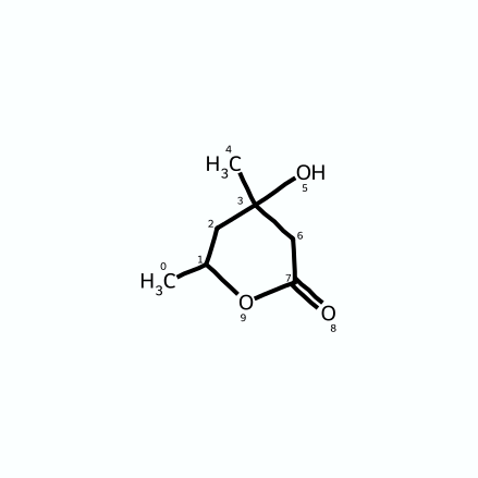 CC1CC(C)(O)CC(=O)O1